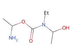 CCN(C(=O)OC(C)N)C(C)O